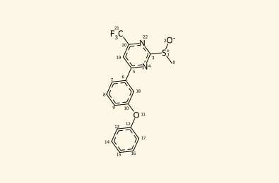 C[S+]([O-])c1nc(-c2cccc(Oc3ccccc3)c2)cc(C(F)(F)F)n1